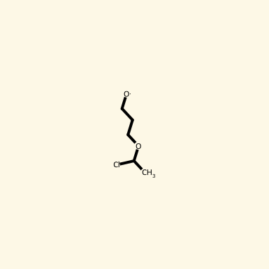 CC(Cl)OCCC[O]